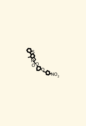 Cc1c2c(cc3sc4ccccc4c13)CC(C(=O)Oc1cccc(OCc3ccc([N+](=O)[O-])cc3)c1)=N2